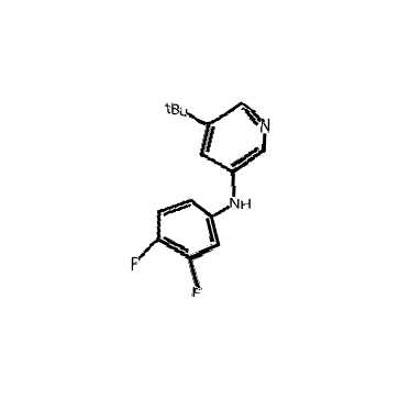 CC(C)(C)c1cncc(Nc2ccc(F)c(F)c2)c1